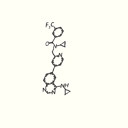 O=C(c1cccc(C(F)(F)F)c1)N(Cc1cc(-c2ccc3ncnc(NC4CC4)c3c2)ccn1)C1CC1